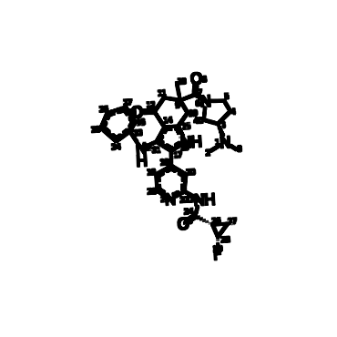 CN(C)[C@@H]1CCN(C(=O)C2(C)CC(=O)c3c([nH]c(-c4ccnc(NC(=O)[C@@H]5C[C@@H]5F)c4)c3Nc3ccccc3)C2)C1